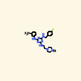 CCN1CCN(CCNc2nc(NCc3ccc(F)cc3)nc(Nc3cccc(C(F)(F)F)c3)n2)CC1